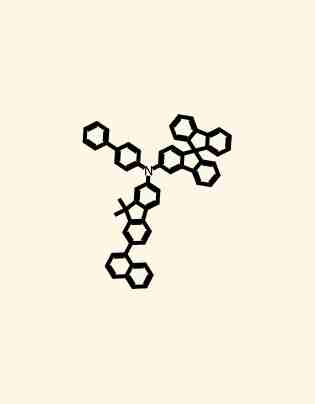 CC1(C)c2cc(-c3cccc4ccccc34)ccc2-c2ccc(N(c3ccc(-c4ccccc4)cc3)c3ccc4c(c3)-c3ccccc3C43c4ccccc4-c4ccccc43)cc21